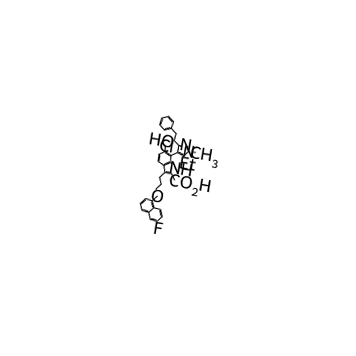 CCc1c(-c2c(Cl)ccc3c(CCCOc4cccc5cc(F)ccc45)c(C(=O)O)[nH]c23)c(C(O)Cc2ccccc2)nn1C